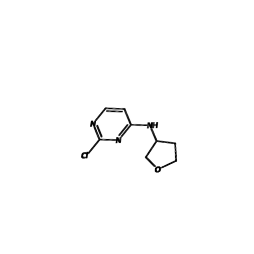 Clc1nccc(NC2CCOC2)n1